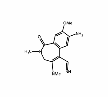 CNC1=C(C=N)c2cc(N)c(OC)cc2C(=O)N(C)C1